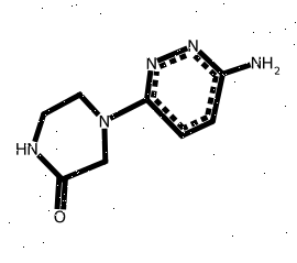 Nc1ccc(N2CCNC(=O)C2)nn1